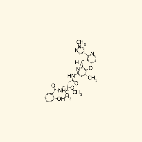 COC(C)(CNC(=O)c1ccccc1O)CC(=O)Nc1cc(C)c(Oc2ccnc(-c3cnn(C)c3)c2)c(C)n1